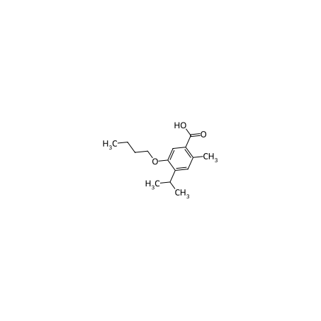 CCCCOc1cc(C(=O)O)c(C)cc1C(C)C